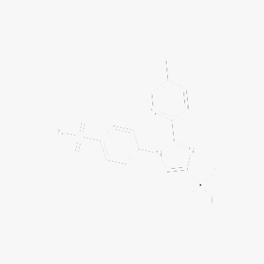 Cc1ccc(-c2nc(C(F)(F)F)cn2-c2ccc(S(N)(=O)=O)cc2)nc1